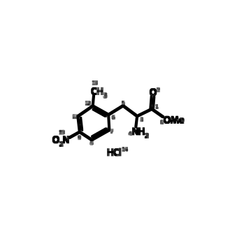 COC(=O)C(N)Cc1ccc([N+](=O)[O-])cc1C.Cl